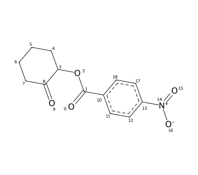 O=C(OC1CCCCC1=O)c1ccc([N+](=O)[O-])cc1